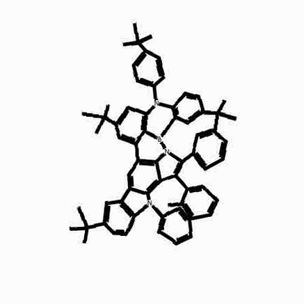 Cc1ccccc1-c1c(-c2ccccc2)n2c3c(cc4c5cc(C(C)(C)C)ccc5n(-c5ccccc5)c4c13)-c1cc(C(C)(C)C)cc3c1B2c1cc(C(C)(C)C)ccc1N3c1ccc(C(C)(C)C)cc1